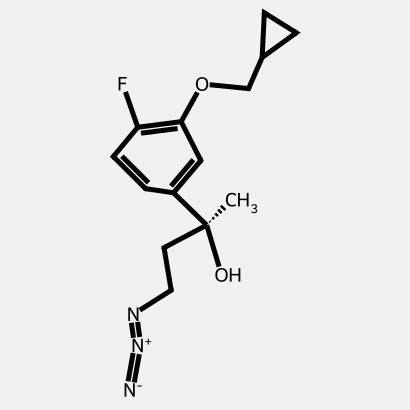 C[C@](O)(CCN=[N+]=[N-])c1ccc(F)c(OCC2CC2)c1